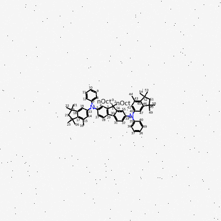 CCCCCCCCC1(CCCCCCCC)c2cc(N(c3ccccc3)c3cc(C)c4c(c3)C(C)(C)CC4(C)C)ccc2-c2ccc(N(c3ccccc3)c3cc(C)c4c(c3)C(C)(C)CC4(C)C)cc21